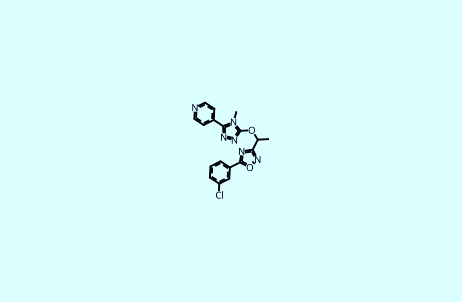 CC(Oc1nnc(-c2ccncc2)n1C)c1noc(-c2cccc(Cl)c2)n1